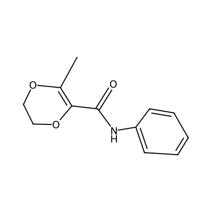 CC1=C(C(=O)Nc2ccccc2)OCCO1